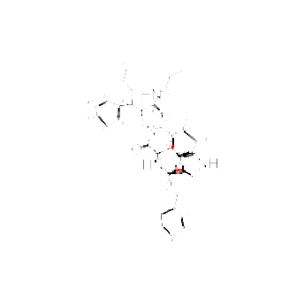 CCCNC(=O)C(CN(Cc1ccccc1C)C(=O)C(Cc1c[nH]cn1)NC(=O)OCc1ccccc1)C(CCC)c1ccccc1